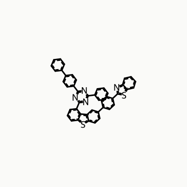 c1ccc(-c2ccc(-c3nc(-c4ccccc4)nc(-c4cccc5sc6ccc(-c7ccc(-c8nc9ccccc9s8)cc7)cc6c45)n3)cc2)cc1